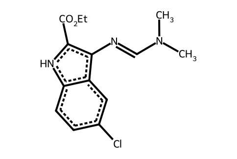 CCOC(=O)c1[nH]c2ccc(Cl)cc2c1N=CN(C)C